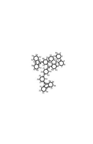 c1ccc(C2(c3ccccc3)c3ccccc3-c3c(N(c4ccc(-c5cccc(-n6c7ccccc7c7ccccc76)c5)cc4)c4cccc(-n5c6ccccc6c6ccccc65)c4)cccc32)cc1